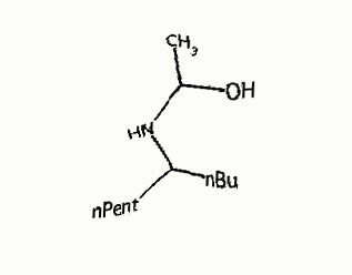 CCCCCC(CCCC)NC(C)O